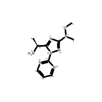 CON(C)c1nc([C@H](C)N)n(-c2ncccn2)n1